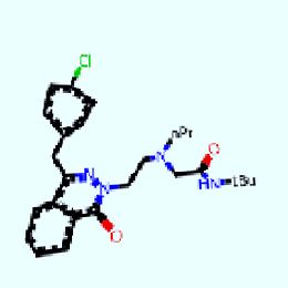 CCCN(CCn1nc(Cc2ccc(Cl)cc2)c2ccccc2c1=O)CC(=O)NC(C)(C)C